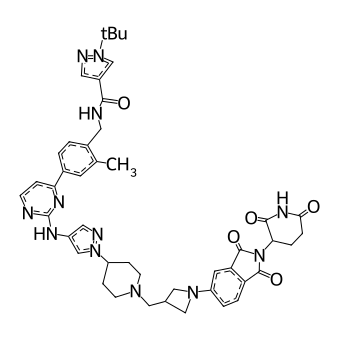 Cc1cc(-c2ccnc(Nc3cnn(C4CCN(CC5CN(c6ccc7c(c6)C(=O)N(C6CCC(=O)NC6=O)C7=O)C5)CC4)c3)n2)ccc1CNC(=O)c1cnn(C(C)(C)C)c1